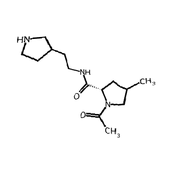 CC(=O)N1CC(C)C[C@H]1C(=O)NCCC1CCNC1